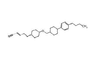 CCCCc1ccc(C2CCC(COC3CCC(CCC=CC#N)CC3)CC2)cc1